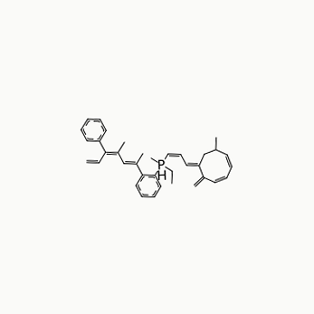 C=C/C(=C(C)\C=C(/C)c1ccccc1[PH](C)(/C=C\C=C1/CC(C)/C=C\C=C/C1=C)CC)c1ccccc1